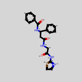 O=C(CC(NC(=O)c1ccccc1)c1ccccc1)NCC(=O)Nc1nccs1